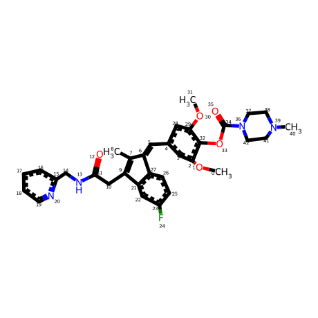 COc1cc(/C=C2/C(C)=C(CC(=O)NCc3ccccn3)c3cc(F)ccc32)cc(OC)c1OC(=O)N1CCN(C)CC1